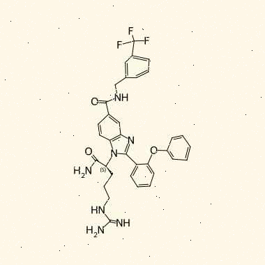 N=C(N)NCCC[C@@H](C(N)=O)n1c(-c2ccccc2Oc2ccccc2)nc2cc(C(=O)NCc3cccc(C(F)(F)F)c3)ccc21